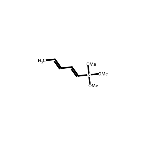 C/C=C/C=C/[Si](OC)(OC)OC